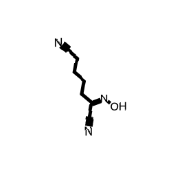 N#CCCCCC(C#N)=NO